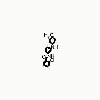 CN1CCC(Nc2cccc(NC(=O)c3ccccc3Cl)c2)CC1